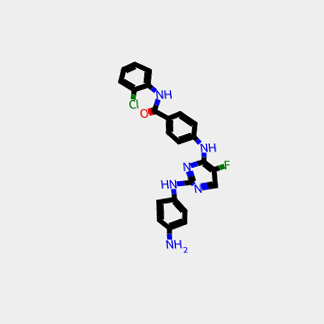 Nc1ccc(Nc2ncc(F)c(Nc3ccc(C(=O)Nc4ccccc4Cl)cc3)n2)cc1